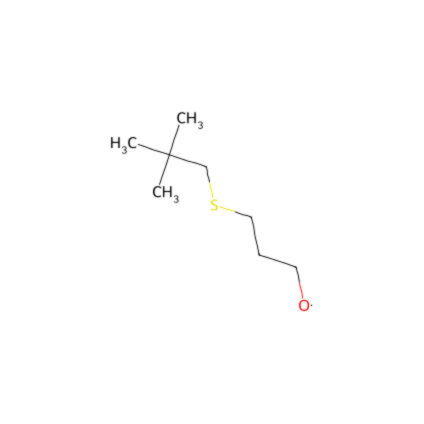 CC(C)(C)CSCCC[O]